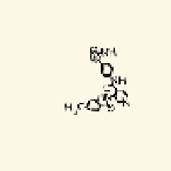 Cc1ccc(C(=O)Nc2cnccc2C(=O)Nc2ccc(N3CCOC3=N)cc2)cc1